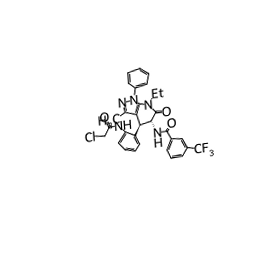 CCN1C(=O)[C@H](NC(=O)c2cccc(C(F)(F)F)c2)[C@@H](c2ccccc2NC(=O)CCl)c2c(C)nn(-c3ccccc3)c21